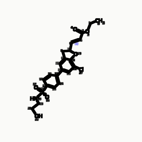 CCOC(=O)/C=C/C1Cc2cc(-c3ccc(S(=O)(=O)NCCO)cc3)cc(Cl)c2O1